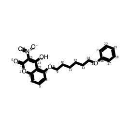 O=c1oc2cccc(OCCCCCCOc3ccccc3)c2c(O)c1[N+](=O)[O-]